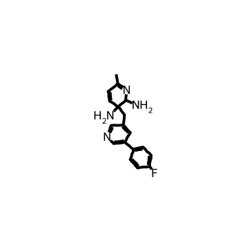 CC1=NC(N)C(N)(Cc2cncc(-c3ccc(F)cc3)c2)C=C1